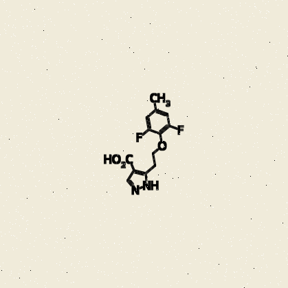 Cc1cc(F)c(OCCc2[nH]ncc2C(=O)O)c(F)c1